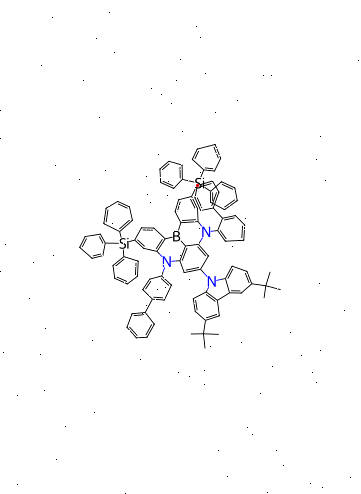 CC(C)(C)c1ccc2c(c1)c1cc(C(C)(C)C)ccc1n2-c1cc2c3c(c1)N(c1ccccc1-c1ccccc1)c1cc([Si](c4ccccc4)(c4ccccc4)c4ccccc4)ccc1B3c1ccc([Si](c3ccccc3)(c3ccccc3)c3ccccc3)cc1N2c1ccc(-c2ccccc2)cc1